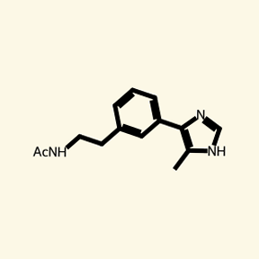 CC(=O)NCCc1cccc(-c2nc[nH]c2C)c1